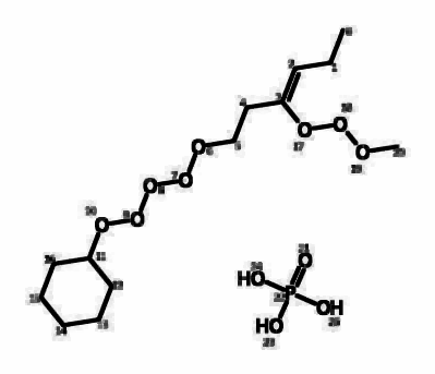 CCC=C(CCOOOOOC1CCCCC1)OOOC.O=P(O)(O)O